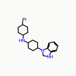 CC(C)C1CCC(NC2CCC(N3[CH]Nc4ccccc43)CC2)CC1